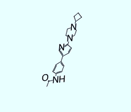 CC(=O)Nc1ccc(-c2ccc(N3CCN(C4CCC4)CC3)nc2)cc1